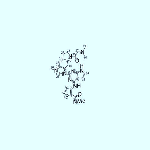 CNC(=O)c1sccc1Nc1nc(Nc2cc3c(cc2N(C)C)CCN3C(=O)CN(C)C)nc2[nH]ccc12